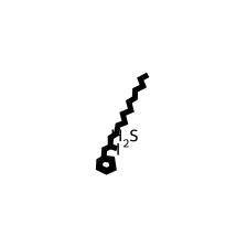 CCCCCCCCCCCCC(I)Cc1ccccc1.S